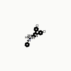 NN/C(=N\Sc1ccccc1)NCc1cnc(-c2ccc(Cl)cc2)c(-c2ccc(Cl)cc2)c1